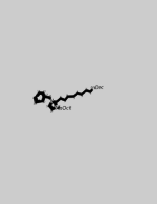 CCCCCCCCCCCCCCCCCCc1n(Cc2ccccc2)cc[n+]1CCCCCCCC